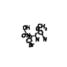 COc1ccc(C#N)cc1/C=C(\C#N)c1cn(C(=O)CCO)c2ccc(Br)cc12